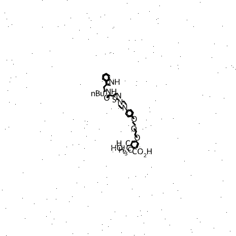 CCCCC(Cc1c[nH]c2ccccc12)NC(=O)c1cnc(N2CCN(c3ccc(OCCOCCOC4=CC(C)(C(=O)O)C(C)(C(=O)O)C=C4)cc3)CC2)s1